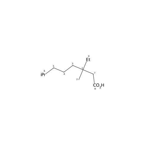 CCC(C)(CCCC(C)C)CC(=O)O